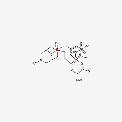 COc1cc(/C=C/C(=O)N2C3CN(C)CC2CN(Cc2ccc(F)cc2)C3)c(NS(C)(=O)=O)cc1Cl